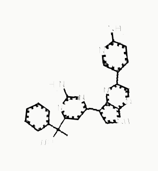 CC(O)(c1ccccc1)c1cc(-c2c[nH]c3ncc(-c4ccc(N)nc4)nc23)nc(N)n1